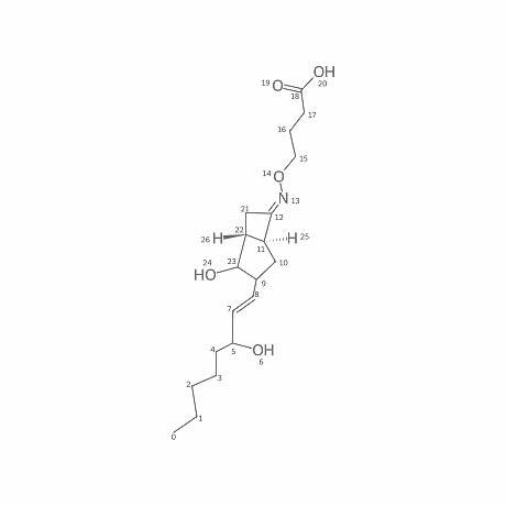 CCCCCC(O)C=CC1C[C@@H]2C(=NOCCCC(=O)O)C[C@H]2C1O